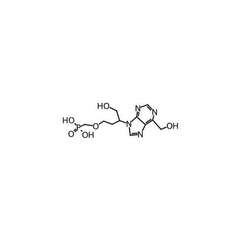 O=P(O)(O)COCCC(CO)n1cnc2c(CO)ncnc21